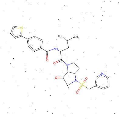 CC(C)CC(NC(=O)c1ccc(-c2cccs2)cc1)C(=O)N1CCC2C1C(=O)CN2S(=O)(=O)Cc1cccnc1